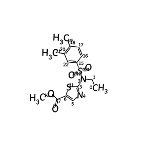 CCN(c1ncc(C(=O)OC)s1)S(=O)(=O)c1ccc(C)c(C)c1